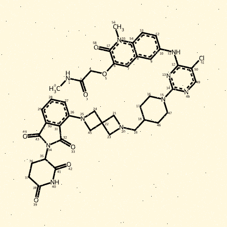 CNC(=O)COc1cc2cc(Nc3nc(N4CCC(CN5CC6(C5)CN(c5cccc7c5C(=O)N(C5CCC(=O)NC5=O)C7=O)C6)CC4)ncc3Cl)ccc2n(C)c1=O